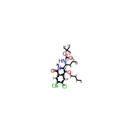 CCCCOc1c(C(CCC)NC(=O)OC(C)(C)C)n(C)c(=O)c2cc(Cl)c(Cl)cc12